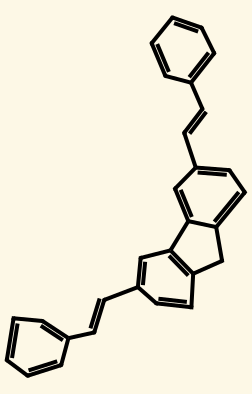 C(=C\c1ccc2c(c1)-c1cc(/C=C/c3ccccc3)ccc1C2)/c1ccccc1